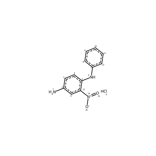 Cl.Nc1ccc(Nc2ccccc2)c([N+](=O)[O-])c1